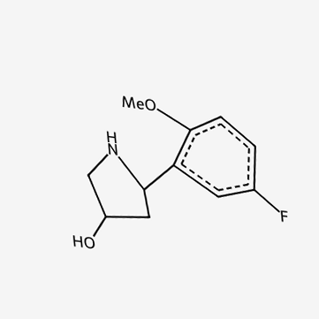 COc1ccc(F)cc1C1CC(O)CN1